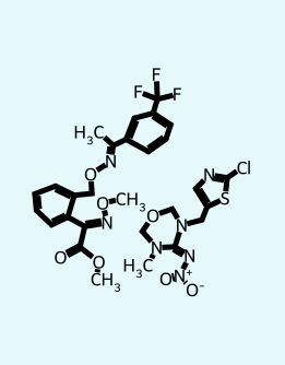 CN1COCN(Cc2cnc(Cl)s2)/C1=N/[N+](=O)[O-].CO/N=C(/C(=O)OC)c1ccccc1CO/N=C(\C)c1cccc(C(F)(F)F)c1